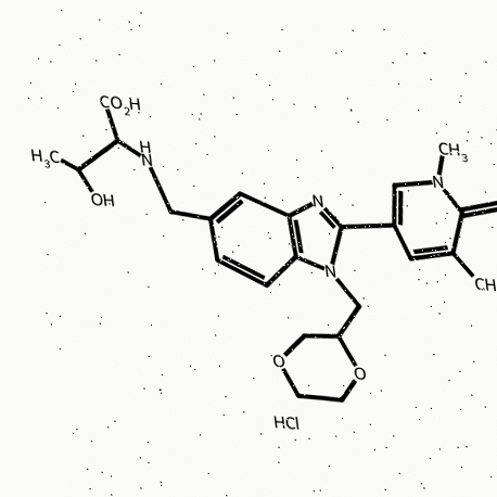 Cc1cc(-c2nc3cc(CNC(C(=O)O)C(C)O)ccc3n2CC2COCCO2)cn(C)c1=O.Cl